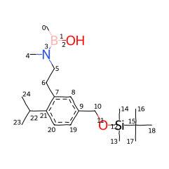 CB(O)N(C)CCc1cc(CO[Si](C)(C)C(C)(C)C)ccc1C(C)C